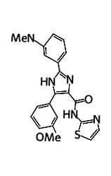 CNc1cccc(-c2nc(C(=O)Nc3nccs3)c(-c3cccc(OC)c3)[nH]2)c1